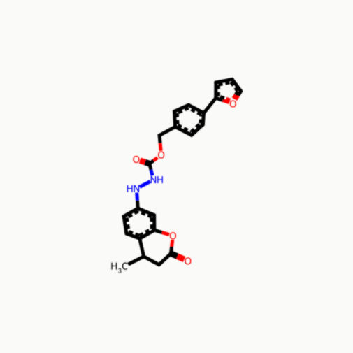 CC1CC(=O)Oc2cc(NNC(=O)OCc3ccc(-c4ccco4)cc3)ccc21